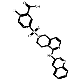 O=C(O)c1cc(S(=O)(=O)N2CCc3c(ccnc3Nc3cnc4ccccc4c3)C2)ccc1Cl